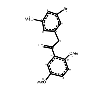 COc1cc(Br)cc(CC(=O)c2cc(OC)ccc2OC)c1